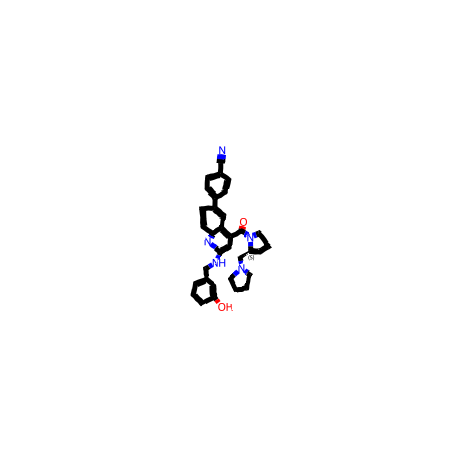 N#Cc1ccc(-c2ccc3nc(NCc4cccc(O)c4)cc(C(=O)N4CCC[C@H]4CN4CCCC4)c3c2)cc1